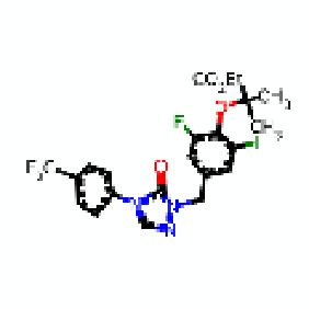 CCOC(=O)C(C)(C)Oc1c(F)cc(Cn2ncn(-c3ccc(C(F)(F)F)cc3)c2=O)cc1F